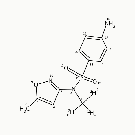 [2H]C([2H])([2H])N(c1cc(C)on1)S(=O)(=O)c1ccc(N)cc1